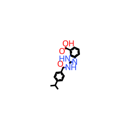 CC(C)c1ccc(C(=O)Nc2nc3cccc(C(=O)O)c3[nH]2)cc1